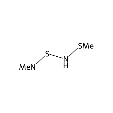 CNSNSC